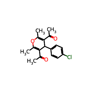 CC(=O)C1=C(C)OC(C)=C(C(C)=O)C1c1ccc(Cl)cc1